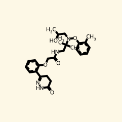 Cc1ccccc1ON(CC(C)O)C(C)(C)CNC(=O)COc1ccccc1C1=NNC(=O)CC1